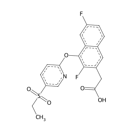 CCS(=O)(=O)c1ccc(Oc2c(F)c(CC(=O)O)cc3ccc(F)cc23)nc1